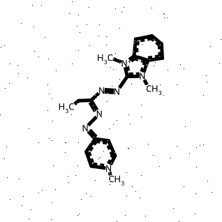 CCC(N=Nc1n(C)c2ccccc2[n+]1C)=NN=c1ccn(C)cc1